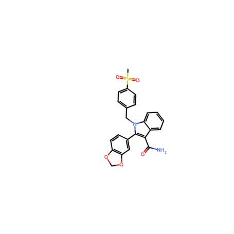 CS(=O)(=O)c1ccc(Cn2c(-c3ccc4c(c3)OCO4)c(C(N)=O)c3ccccc32)cc1